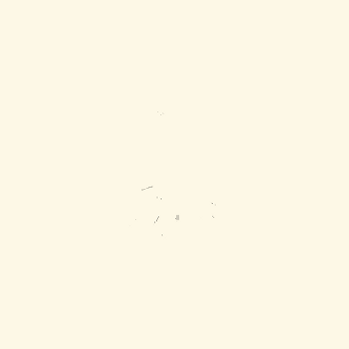 COCCOCCOC(=O)N[C@@H](CC1CC1)C(=O)N[C@H](C#N)C[C@@H]1CCNC1=O